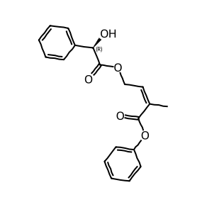 CC(=CCOC(=O)[C@H](O)c1ccccc1)C(=O)Oc1ccccc1